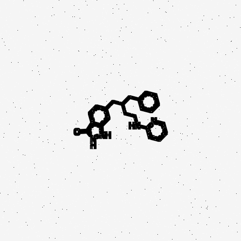 O=c1[nH][nH]c2cc(CC(CCNc3ccccn3)Cc3ccccc3)ccc12